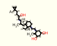 C=C1/C(=C\C=C2/CCC[C@]3(C)[C@@H]([C@H](C)/C=C/[C@@H](O)CCC4(C(C)=O)CC4)CC[C@@H]23)C[C@@H](O)C[C@@H]1O